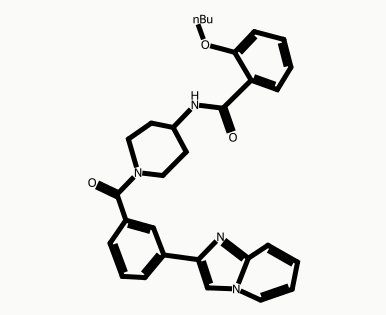 CCCCOc1ccccc1C(=O)NC1CCN(C(=O)c2cccc(-c3cn4ccccc4n3)c2)CC1